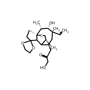 C=C[C@@]1(C)C[C@@H](CC(=O)CO)C2C3C4(CC[C@@]3(CC[C@H]2C)[C@H](C)[C@@H]1O)OCCO4